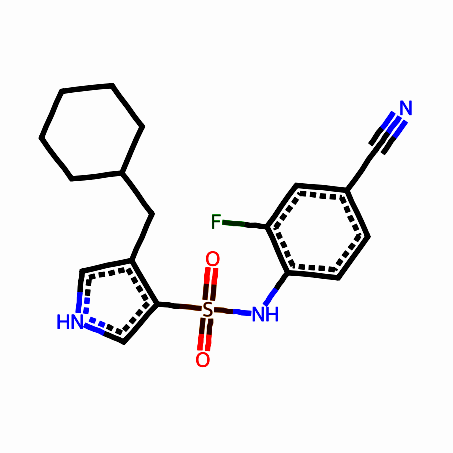 N#Cc1ccc(NS(=O)(=O)c2c[nH]cc2CC2CCCCC2)c(F)c1